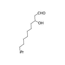 CC(C)CCCCCCCC(O)CC=O